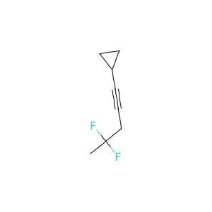 CC(F)(F)CC#CC1CC1